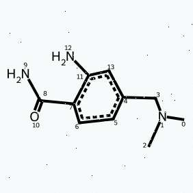 CN(C)Cc1ccc(C(N)=O)c(N)c1